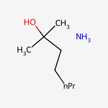 CCCCCC(C)(C)O.N